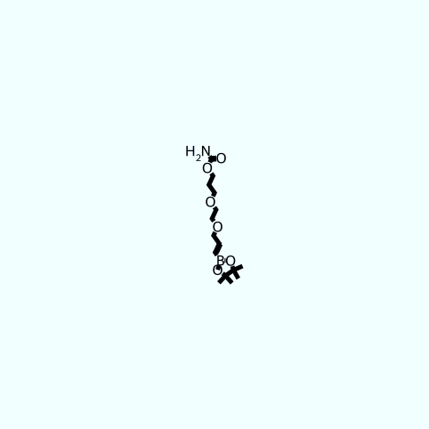 CC1(C)OB(C=CCOCCOCCCOC(N)=O)OC1(C)C